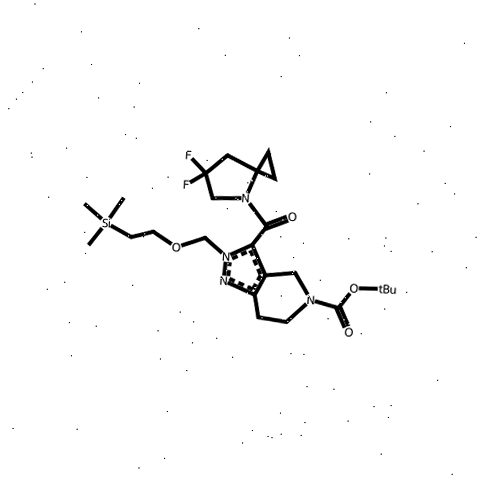 CC(C)(C)OC(=O)N1CCc2nn(COCC[Si](C)(C)C)c(C(=O)N3CC(F)(F)CC34CC4)c2C1